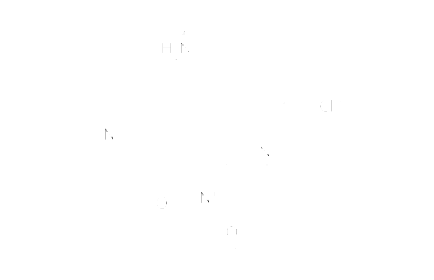 N#Cc1c(N)cc(Cl)nc1[N+](=O)[O-]